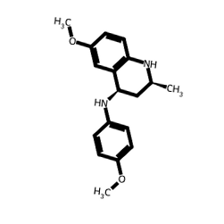 COc1ccc(N[C@@H]2C[C@H](C)Nc3ccc(OC)cc32)cc1